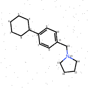 c1cc(C2CCCCC2)ccc1CN1CCCC1